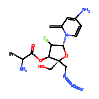 C=C1C=C(N)C=CN1[C@@H]1O[C@@](CO)(CN=[N+]=[N-])[C@@H](OC(=O)C(N)C(C)C)[C@H]1F